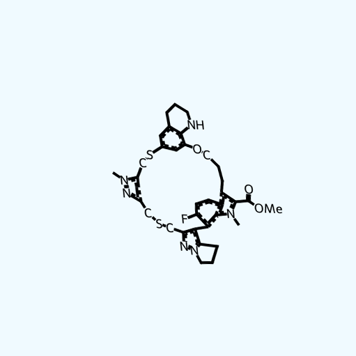 COC(=O)c1c2c3ccc(F)c(c3n1C)-c1c(nn3c1CCC3)CSCc1cc(n(C)n1)CSc1cc3c(c(c1)OCCC2)NCCC3